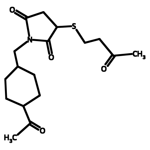 CC(=O)CCSC1CC(=O)N(CC2CCC(C(C)=O)CC2)C1=O